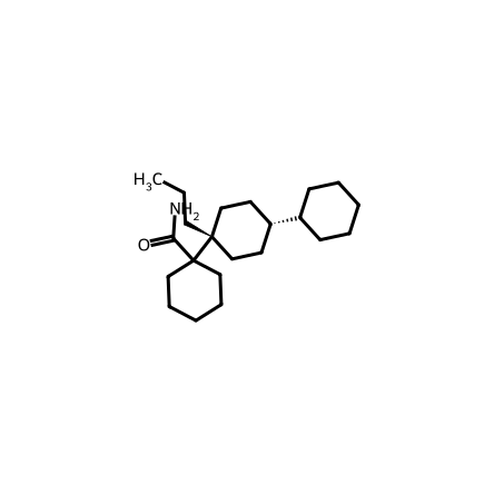 CCC[C@]1(C2(C(N)=O)CCCCC2)CC[C@@H](C2CCCCC2)CC1